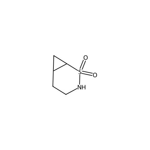 O=S1(=O)NCCC2CC21